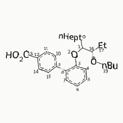 CCCCCCCC(Oc1ccccc1-c1ccc(C(=O)O)cc1)C(CC)OCCCC